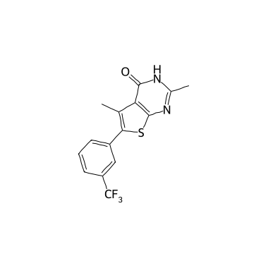 Cc1nc2sc(-c3cccc(C(F)(F)F)c3)c(C)c2c(=O)[nH]1